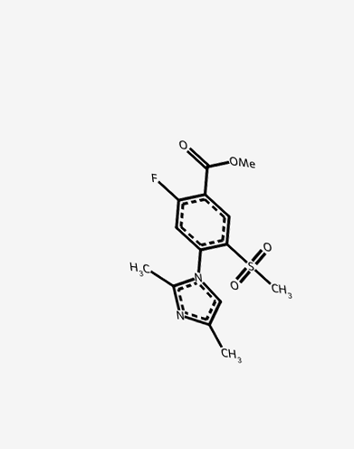 COC(=O)c1cc(S(C)(=O)=O)c(-n2cc(C)nc2C)cc1F